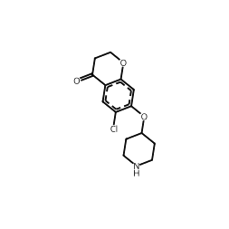 O=C1CCOc2cc(OC3CCNCC3)c(Cl)cc21